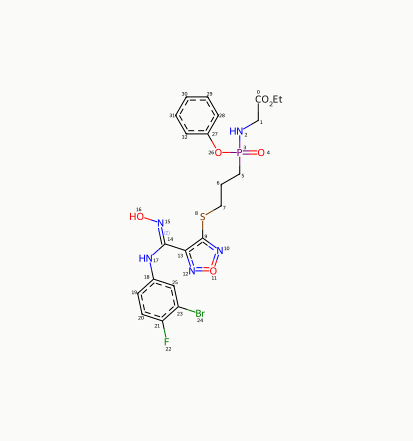 CCOC(=O)CNP(=O)(CCCSc1nonc1/C(=N/O)Nc1ccc(F)c(Br)c1)Oc1ccccc1